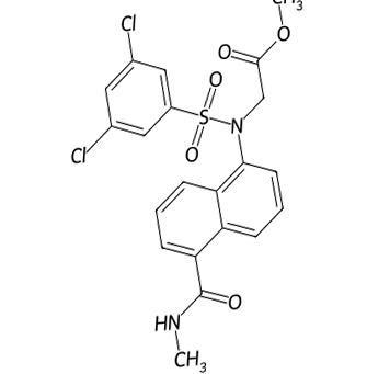 CNC(=O)c1cccc2c(N(CC(=O)OC)S(=O)(=O)c3cc(Cl)cc(Cl)c3)cccc12